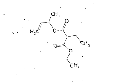 C=CC(C)OC(=O)C(CC)C(=O)OCC